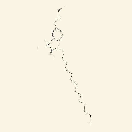 C=C1N(CCCCCCCCCCCCCC)c2ccc(CNC=O)cc2C1(C)C